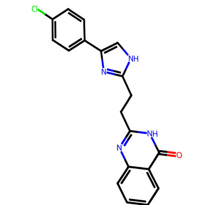 O=c1[nH]c(CCc2nc(-c3ccc(Cl)cc3)c[nH]2)nc2ccccc12